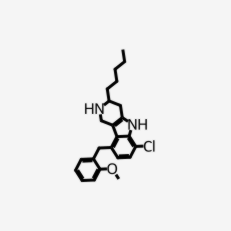 CCCCCC1Cc2[nH]c3c(Cl)ccc(Cc4ccccc4OC)c3c2CN1